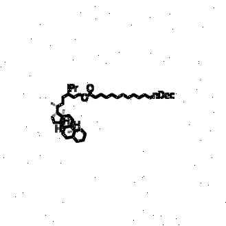 CCCCCCCCCCCCCCCCCCCCCC(=O)OCC[C@H](CC[C@@H](C)[C@H]1CC[C@H]2[C@@H]3CCC4CCCC[C@]4(C)[C@H]3CC[C@]12C)C(C)C